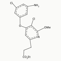 CCOC(=O)CCc1cc(Oc2cc(N)cc(Cl)c2)c(Cl)c(OC)n1